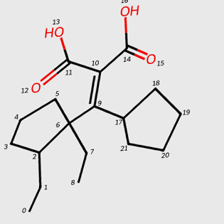 CCC1CCCC1(CC)C(=C(C(=O)O)C(=O)O)C1CCCC1